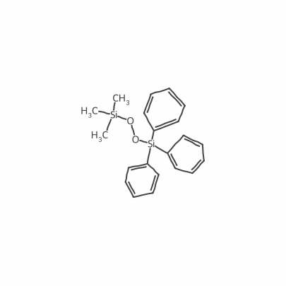 C[Si](C)(C)OO[Si](c1ccccc1)(c1ccccc1)c1ccccc1